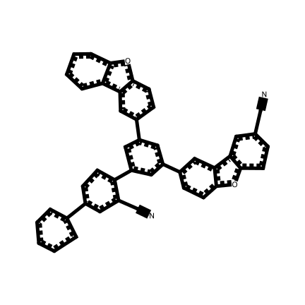 N#Cc1ccc2oc3ccc(-c4cc(-c5ccc6oc7ccccc7c6c5)cc(-c5ccc(-c6ccccc6)cc5C#N)c4)cc3c2c1